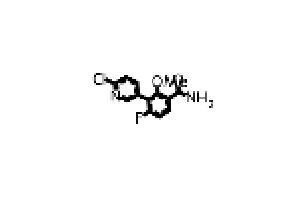 COc1c(C(N)=O)ccc(F)c1-c1ccc(Cl)nc1